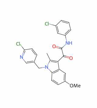 COc1ccc2c(c1)c(C(=O)C(=O)Nc1cccc(Cl)c1)c(C)n2Cc1ccc(Cl)nc1